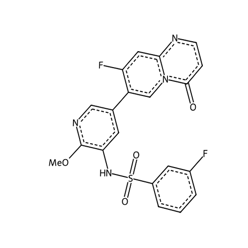 COc1ncc(-c2cn3c(=O)ccnc3cc2F)cc1NS(=O)(=O)c1cccc(F)c1